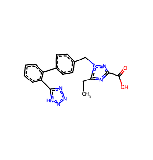 CCc1nc(C(=O)O)nn1Cc1ccc(-c2ccccc2-c2nnn[nH]2)cc1